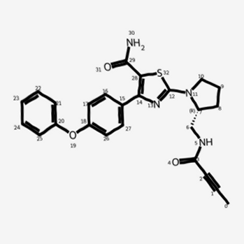 CC#CC(=O)NC[C@H]1CCCN1c1nc(-c2ccc(Oc3ccccc3)cc2)c(C(N)=O)s1